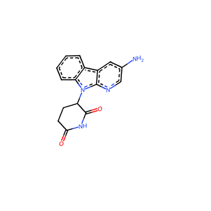 Nc1cnc2c(c1)c1ccccc1n2C1CCC(=O)NC1=O